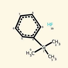 C[Si](C)(C)c1ccccc1.F